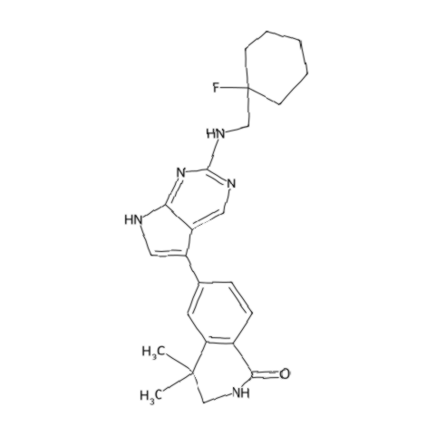 CC1(C)CNC(=O)c2ccc(-c3c[nH]c4nc(NCC5(F)CCCCC5)ncc34)cc21